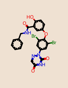 O=C(NCc1ccccc1)c1cc(Oc2c(Br)cc(-n3ncc(=O)[nH]c3=O)cc2Br)ccc1O